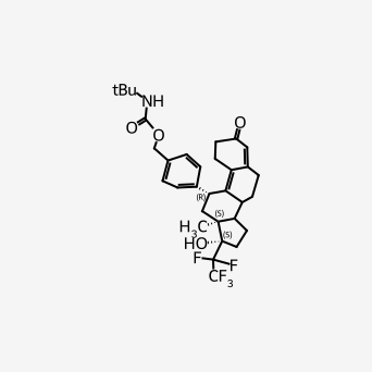 CC(C)(C)NC(=O)OCc1ccc([C@H]2C[C@@]3(C)C(CC[C@@]3(O)C(F)(F)C(F)(F)F)C3CCC4=CC(=O)CCC4=C32)cc1